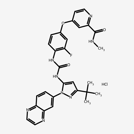 CNC(=O)c1cc(Oc2ccc(NC(=O)Nc3cc(C(C)(C)C)nn3-c3ccc4nccnc4c3)c(F)c2)ccn1.Cl